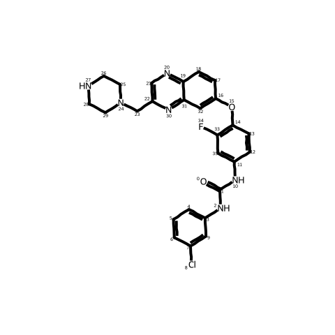 O=C(Nc1cccc(Cl)c1)Nc1ccc(Oc2ccc3ncc(CN4CCNCC4)nc3c2)c(F)c1